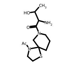 CC(=O)N1CCSC12CCCN(C(=O)C(N)C(C)O)C2